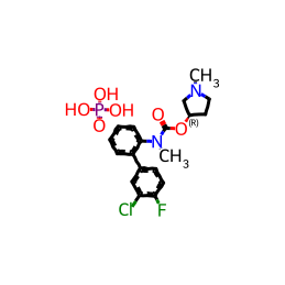 CN1CC[C@@H](OC(=O)N(C)c2ccccc2-c2ccc(F)c(Cl)c2)C1.O=P(O)(O)O